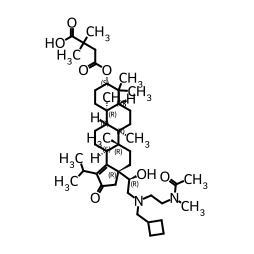 CC(=O)N(C)CCN(CC1CCC1)C[C@H](O)[C@@]12CC[C@]3(C)[C@H](CC[C@@H]4[C@@]5(C)CC[C@H](OC(=O)CC(C)(C)C(=O)O)C(C)(C)[C@@H]5CC[C@]43C)C1=C(C(C)C)C(=O)C2